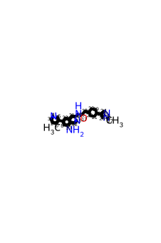 Cc1ccncc1-c1cc(N)c2cnc(NC(=O)C=C3CCC(c4cnn(C)c4)CC3)cc2c1